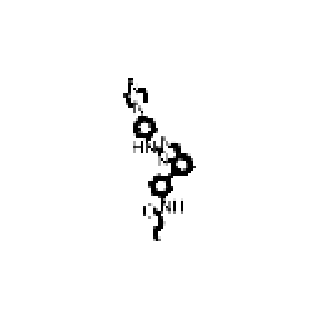 CC=CC(=O)Nc1cccc(-c2cccc3cnc(Nc4ccc(N5CCN(C)CC5)cc4)nc23)c1